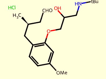 COc1ccc(C[C@@H](C)CC=O)c(OCC(O)CNC(C)(C)C)c1.Cl